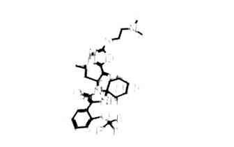 CC(C)CC(C(=O)c1nnc(SCCN(C)C)o1)N(C=O)C1(NC(=O)c2ccccc2OC(F)(F)F)CCCCC1.Cl